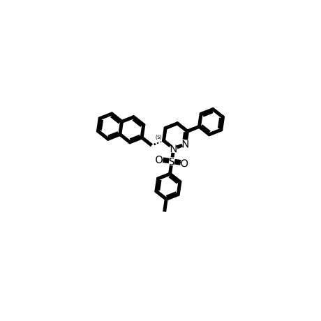 Cc1ccc(S(=O)(=O)N2N=C(c3ccccc3)CC[C@H]2Cc2ccc3ccccc3c2)cc1